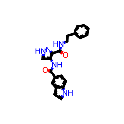 O=C(Nc1c[nH]nc1C(=O)NCCc1ccccc1)c1ccc2[nH]ccc2c1